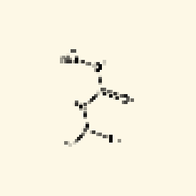 CCCCOC(=O)OC(C)I